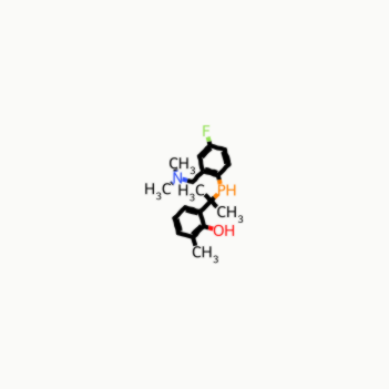 Cc1cccc(C(C)(C)Pc2ccc(F)cc2CN(C)C)c1O